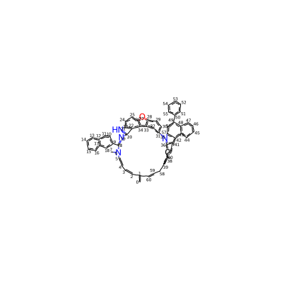 C=C1/C=C\C=C/N(C)/C(c2ccc3ccccc3c2)=N\C(=N)c2cccc3oc4ccc(cc4c23)-n2c3ccc(cc3c3c4ccccc4c(-c4ccccc4)cc32)C/C=C\1